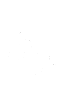 CCOc1cc(-c2nc(Br)c3n2CCOCC3)ccc1Cl